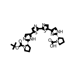 CC(C)(C)OC(=O)N1CCC[C@H]1c1ncc(-c2cnc(-c3ncc(-c4c[nH]c([C@@H]5CCCN5C(=O)O)n4)s3)s2)[nH]1